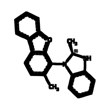 Cc1ccc2c(oc3ccccc32)c1N1c2ccccc2N[C@@H]1C